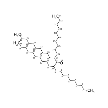 CCCCCCCCCCC(CCCCCCCCCC)C(=O)C(CCCCCCCCCC)CCCCCCCCCC